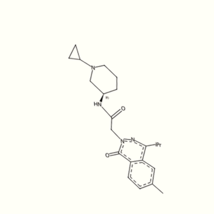 Cc1ccc2c(=O)n(CC(=O)N[C@@H]3CCCN(C4CC4)C3)nc(C(C)C)c2c1